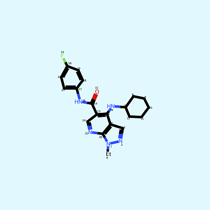 CCn1ncc2c(NC3CCCCC3)c(C(=O)Nc3ccc(F)cc3)cnc21